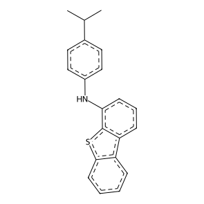 CC(C)c1ccc(Nc2cccc3c2sc2ccccc23)cc1